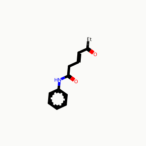 CCC(=O)/C=C/CC(=O)Nc1ccccc1